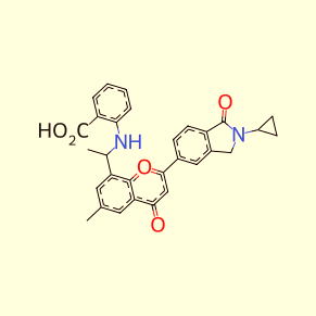 Cc1cc(C(C)Nc2ccccc2C(=O)O)c2oc(-c3ccc4c(c3)CN(C3CC3)C4=O)cc(=O)c2c1